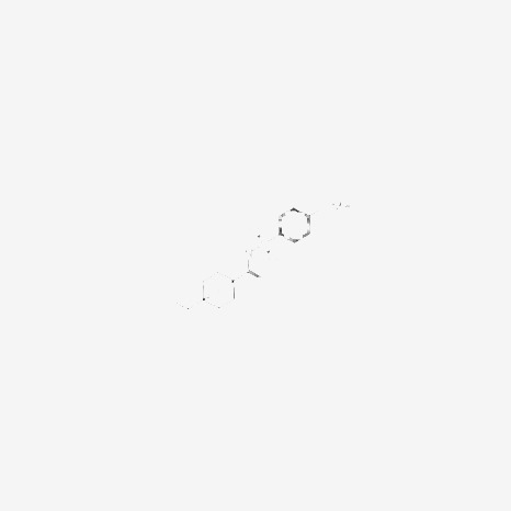 COc1ccc(S(=O)(=O)NC(=O)C23CCC(CC(C)C)(CC2)CC3)cc1